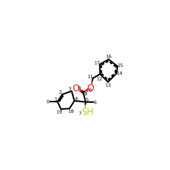 CC1=CCC(C(C)(S)C(=O)OCc2ccccc2)CC1